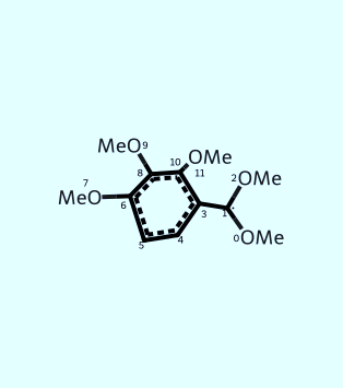 CO[C](OC)c1ccc(OC)c(OC)c1OC